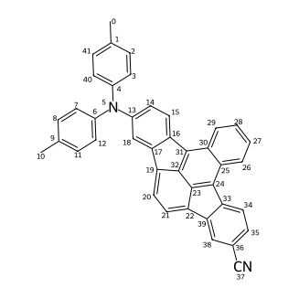 Cc1ccc(N(c2ccc(C)cc2)c2ccc3c(c2)-c2ccc4c5c(c6ccccc6c-3c25)-c2ccc(C#N)cc2-4)cc1